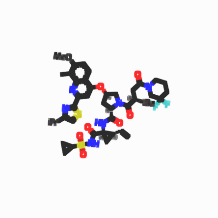 C=C[C@@H]1C[C@]1(NC(=O)[C@@H]1C[C@@H](Oc2cc(-c3nc(C(C)C)cs3)nc3c(C)c(OC)ccc23)CN1C(=O)[C@@H](CC(=O)N1CCCC(F)(F)C1)C(C)(C)C)C(=O)NS(=O)(=O)C1CC1